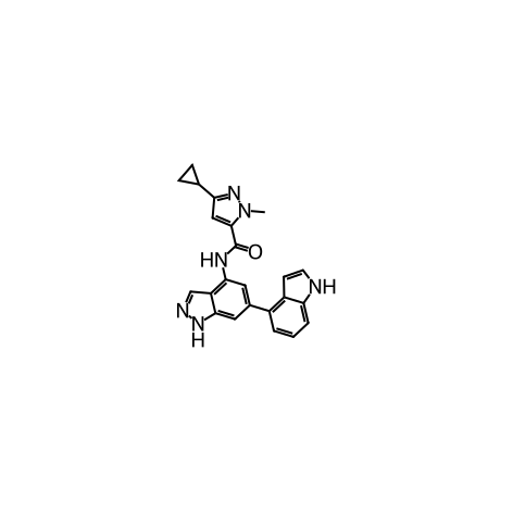 Cn1nc(C2CC2)cc1C(=O)Nc1cc(-c2cccc3[nH]ccc23)cc2[nH]ncc12